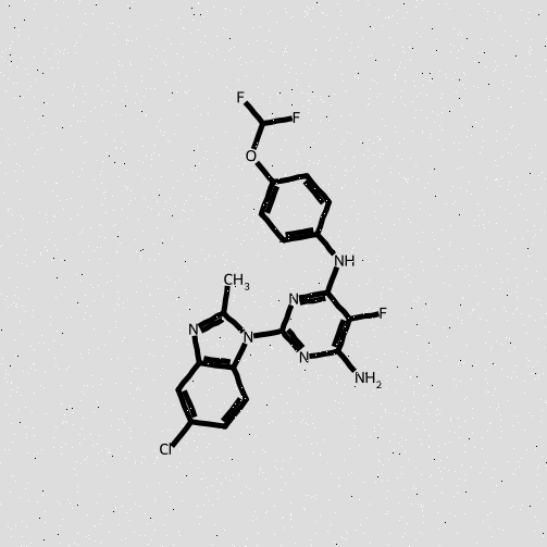 Cc1nc2cc(Cl)ccc2n1-c1nc(N)c(F)c(Nc2ccc(OC(F)F)cc2)n1